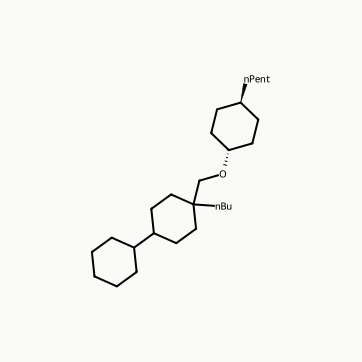 CCCCC[C@H]1CC[C@H](OCC2(CCCC)CCC(C3CCCCC3)CC2)CC1